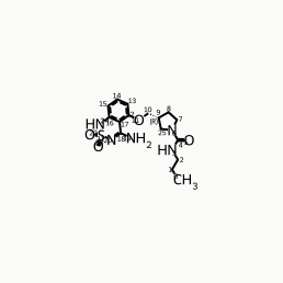 CCCNC(=O)N1CC[C@@H](COc2cccc3c2C(N)=NS(=O)(=O)N3)C1